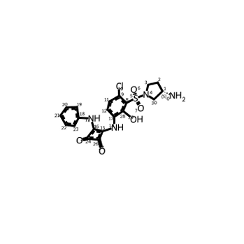 N[C@H]1CCN(S(=O)(=O)c2c(Cl)ccc(Nc3c(Nc4ccccc4)c(=O)c3=O)c2O)C1